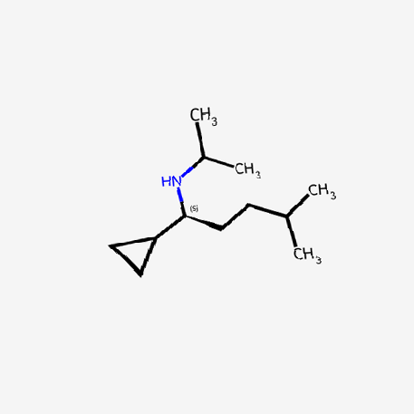 CC(C)CC[C@H](NC(C)C)C1CC1